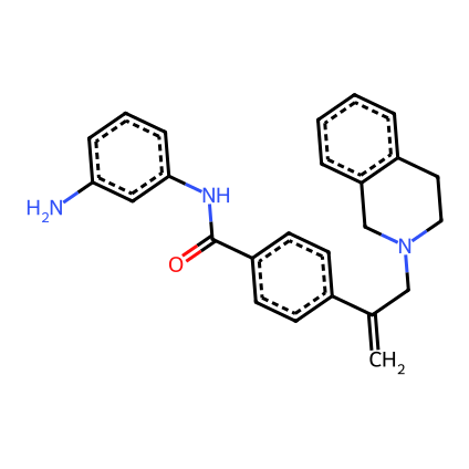 C=C(CN1CCc2ccccc2C1)c1ccc(C(=O)Nc2cccc(N)c2)cc1